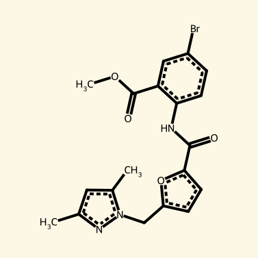 COC(=O)c1cc(Br)ccc1NC(=O)c1ccc(Cn2nc(C)cc2C)o1